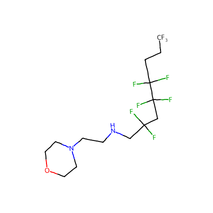 FC(F)(F)CCC(F)(F)C(F)(F)CC(F)(F)CNCCN1CCOCC1